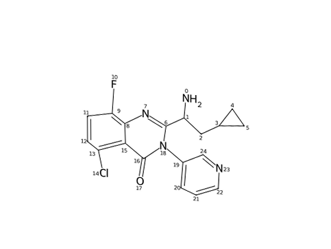 NC(CC1CC1)c1nc2c(F)ccc(Cl)c2c(=O)n1-c1cccnc1